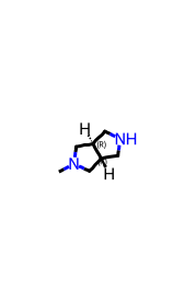 CN1C[C@H]2CNC[C@@H]2C1